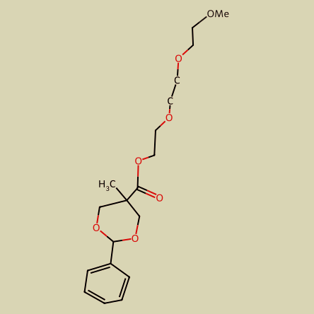 COCCOCCOCCOC(=O)C1(C)COC(c2ccccc2)OC1